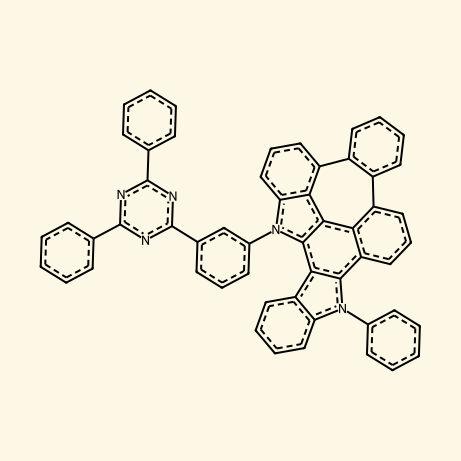 c1ccc(-c2nc(-c3ccccc3)nc(-c3cccc(-n4c5cccc6c5c5c7c(cccc7c7c(c8ccccc8n7-c7ccccc7)c54)-c4ccccc4-6)c3)n2)cc1